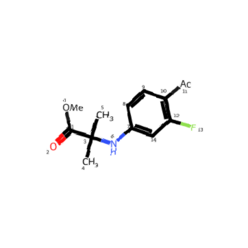 COC(=O)C(C)(C)Nc1ccc(C(C)=O)c(F)c1